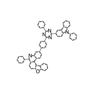 c1ccc(-c2nc(-c3ccc(-c4ccc5c(c4)nc(-c4ccccc4)c4ccc6oc7ccccc7c6c45)cc3)nc(-c3ccc4c(c3)c3ccccc3n4-c3ccccc3)n2)cc1